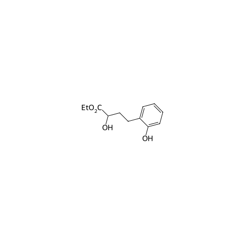 CCOC(=O)C(O)CCc1ccccc1O